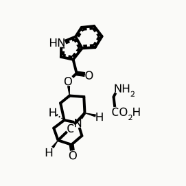 NCC(=O)O.O=C(O[C@@H]1C[C@@H]2C[C@@H]3C[C@H](C1)N2CC3=O)c1c[nH]c2ccccc12